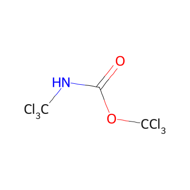 O=C(NC(Cl)(Cl)Cl)OC(Cl)(Cl)Cl